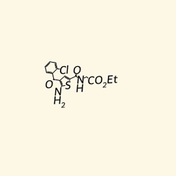 CCOC(=O)CNC(=O)c1cc(C(=O)c2ccccc2Cl)c(N)s1